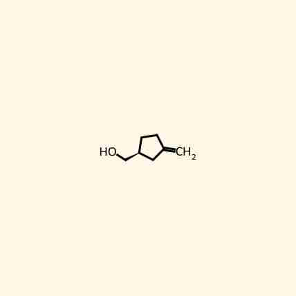 C=C1CC[C@H](CO)C1